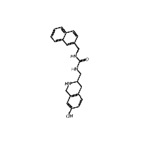 O=C(NCc1ccc2ccccc2c1)NCC1Cc2ccc(O)cc2CN1